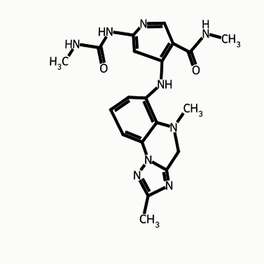 CNC(=O)Nc1cc(Nc2cccc3c2N(C)Cc2nc(C)nn2-3)c(C(=O)NC)cn1